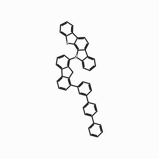 c1ccc(-c2ccc(-c3cccc(-c4cccc5c4Cc4c-5cccc4-n4c5ccccc5c5ccc6c7ccccc7sc6c54)c3)cc2)cc1